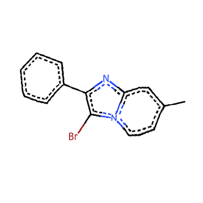 Cc1ccn2c(Br)c(-c3ccccc3)nc2c1